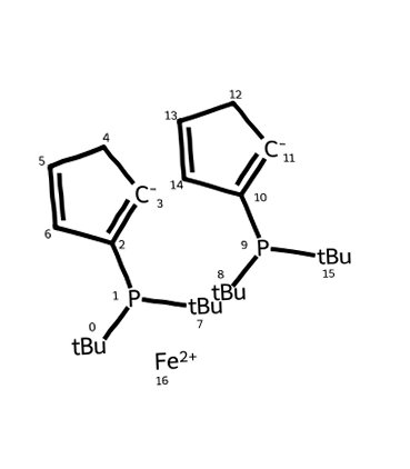 CC(C)(C)P(C1=[C-]CC=C1)C(C)(C)C.CC(C)(C)P(C1=[C-]CC=C1)C(C)(C)C.[Fe+2]